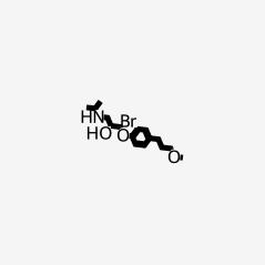 COCCCc1ccc(OCC(O)CNC(C)C)c(Br)c1